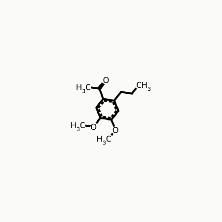 CCCc1cc(OC)c(OC)cc1C(C)=O